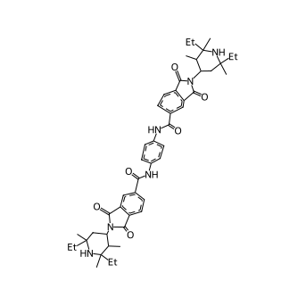 CCC1(C)CC(N2C(=O)c3ccc(C(=O)Nc4ccc(NC(=O)c5ccc6c(c5)C(=O)N(C5CC(C)(CC)NC(C)(CC)C5C)C6=O)cc4)cc3C2=O)C(C)C(C)(CC)N1